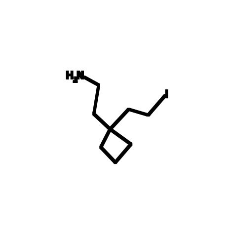 NCCC1(CCI)CCC1